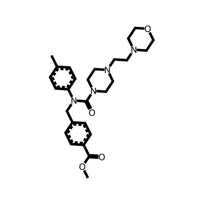 COC(=O)c1ccc(CN(C(=O)N2CCN(CCN3CCOCC3)CC2)c2ccc(C)cc2)cc1